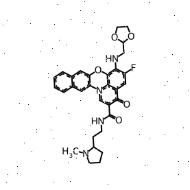 CN1CCCC1CCNC(=O)c1cn2c3c(c(NCC4OCCO4)c(F)cc3c1=O)Oc1cc3ccccc3cc1-2